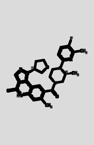 Cc1cc2[nH]c(=O)c3cnn([C@H]4CCOC4)c3c2cc1C(=O)N1CCN(c2ccc(F)c(C)n2)[C@H](C)C1